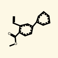 C=Cc1cc(-c2ccccc2)ccc1C(=O)OC